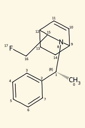 C[C@H](c1ccccc1)N1C2C=CC(CC2)C1CF